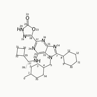 CC1CCC(Cn2c(C3CCCCC3)nc3nc(-c4n[nH]c(=O)o4)nc(N[C@H](C)C4CCC4)c32)CC1